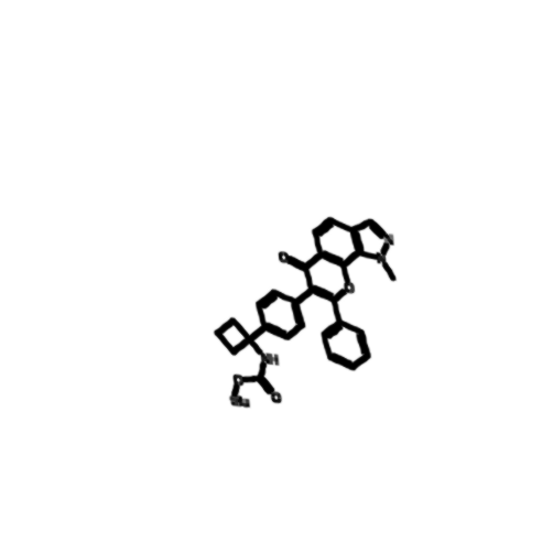 Cn1ncc2ccc3c(=O)c(-c4ccc(C5(NC(=O)OC(C)(C)C)CCC5)cc4)c(-c4ccccc4)oc3c21